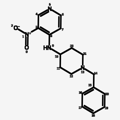 O=[N+]([O-])c1cnccc1NC1CCN(Cc2ccccc2)CC1